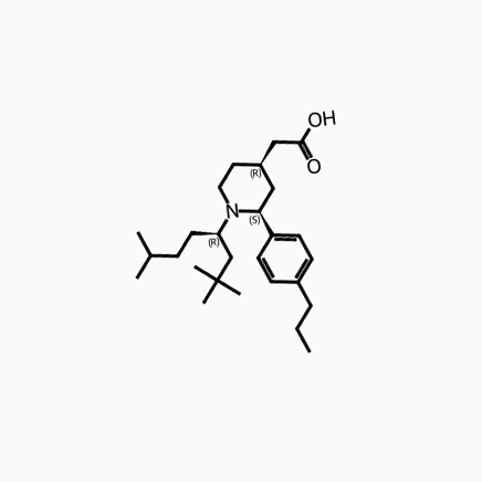 CCCc1ccc([C@@H]2C[C@H](CC(=O)O)CCN2[C@H](CCC(C)C)CC(C)(C)C)cc1